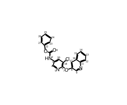 O=C(Nc1cnc(Oc2cnc3ccccc3c2)c(Cl)c1)Oc1ccccc1